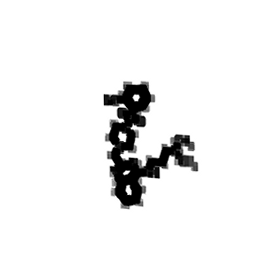 CN(C)CCCNc1nc(CN2CCN(S(=O)(=O)c3ccccc3C#N)CC2)nc2ccccc12